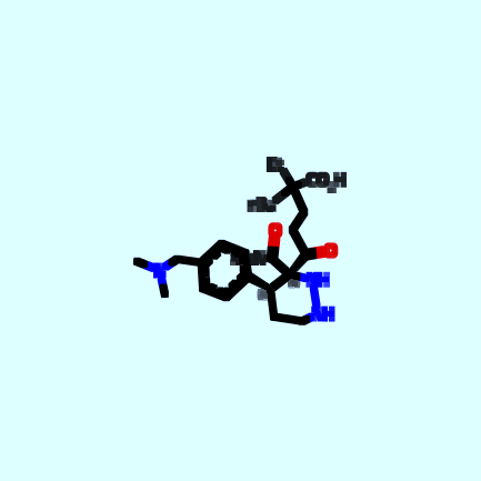 CCCCC(CC)(CCC(=O)[C@@]1(C(=O)NC)NNCC[C@H]1c1ccc(CN(C)C)cc1)C(=O)O